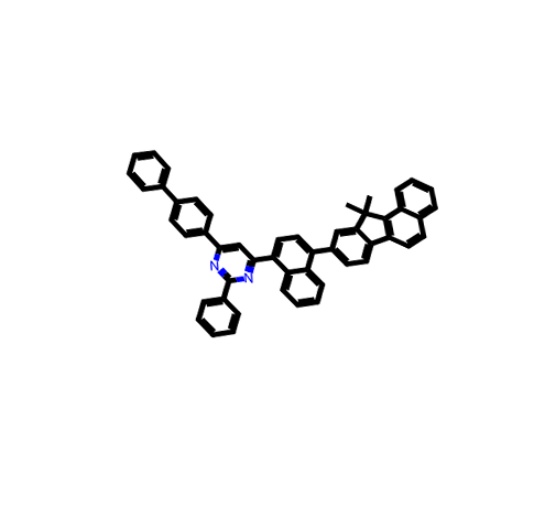 CC1(C)c2cc(-c3ccc(-c4cc(-c5ccc(-c6ccccc6)cc5)nc(-c5ccccc5)n4)c4ccccc34)ccc2-c2ccc3ccccc3c21